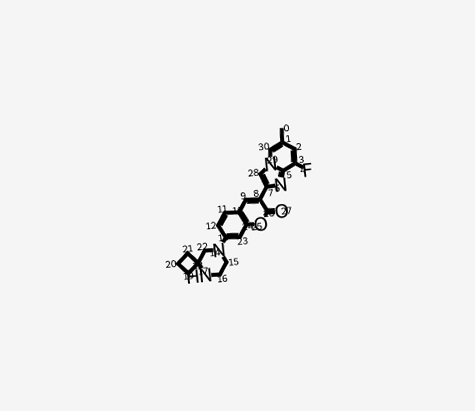 Cc1cc(F)c2nc(-c3cc4ccc(N5CCNC6(CCC6)C5)cc4oc3=O)cn2c1